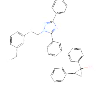 BC1(c2ccccc2)CC1c1ccccc1.CCc1cccc([SiH2]Cn2nc(-c3ccccc3)nc2-c2ccccc2)c1